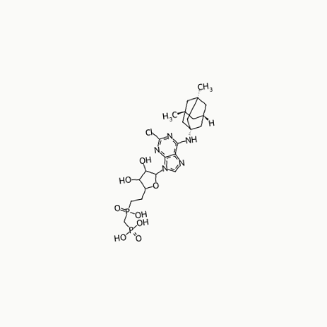 C[C@]12C[C@@H]3C[C@](C)(C1)C[C@@](Nc1nc(Cl)nc4c1ncn4C1OC(CCP(=O)(O)CP(=O)(O)O)C(O)C1O)(C3)C2